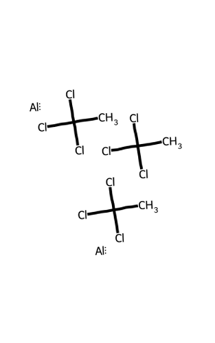 CC(Cl)(Cl)Cl.CC(Cl)(Cl)Cl.CC(Cl)(Cl)Cl.[Al].[Al]